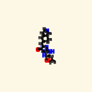 CC(C)C[C@H](CO)NC1=N/C(=C\c2ccc3cnccc3c2)C(=O)N1